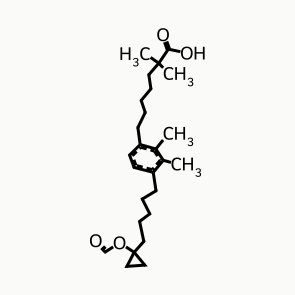 Cc1c(CCCCCC2(OC=O)CC2)ccc(CCCCCC(C)(C)C(=O)O)c1C